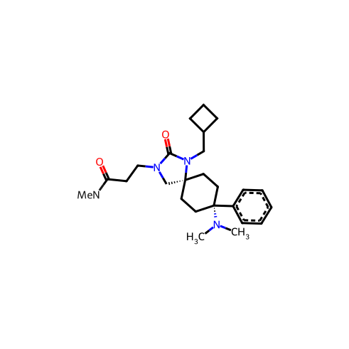 CNC(=O)CCN1C[C@]2(CC[C@@](c3ccccc3)(N(C)C)CC2)N(CC2CCC2)C1=O